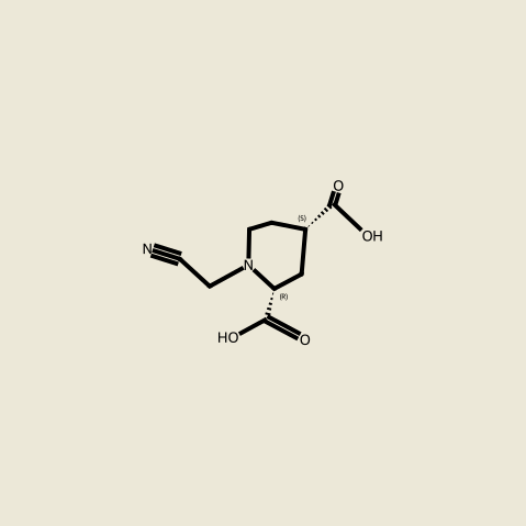 N#CCN1CC[C@H](C(=O)O)C[C@@H]1C(=O)O